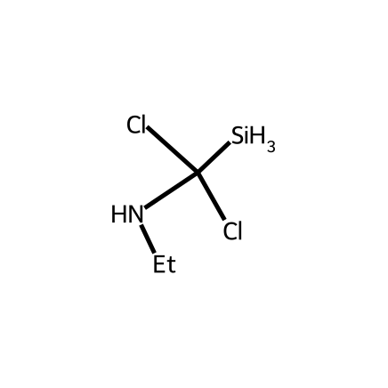 CCNC([SiH3])(Cl)Cl